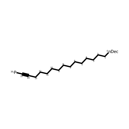 CCCCCCCCCCCCCCCCCCCCCCCC#C[P]